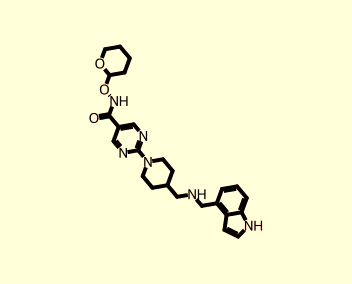 O=C(NOC1CCCCO1)c1cnc(N2CCC(CNCc3cccc4[nH]ccc34)CC2)nc1